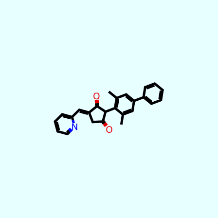 Cc1cc(-c2ccccc2)cc(C)c1C1C(=O)C/C(=C\c2ccccn2)C1=O